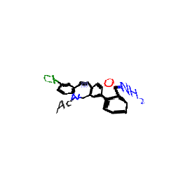 CC(=O)N1Cc2cc(-c3ccccc3C(N)=O)ccc2/C=C\c2cc(Cl)ccc21